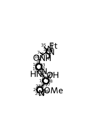 CCn1nc(C)c(C(C)NC(=O)c2ccc3[nH]c(-c4cc(-c5cccnc5OC)ccc4O)nc3c2)c1C